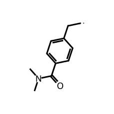 [CH2]Cc1ccc(C(=O)N(C)C)cc1